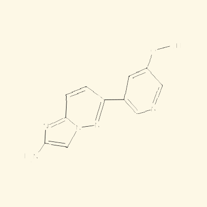 COc1cncc(-c2ccc3nc(N)cn3n2)c1